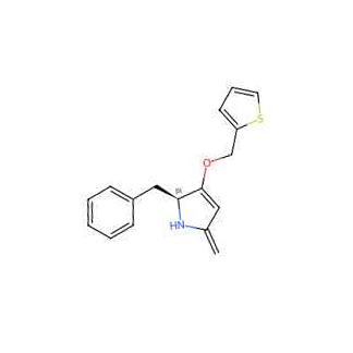 C=C1C=C(OCc2cccs2)[C@H](Cc2ccccc2)N1